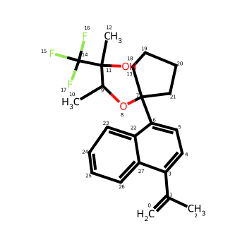 C=C(C)c1ccc(C2(OC(C)C(C)(O)C(F)(F)F)CCCC2)c2ccccc12